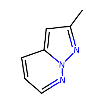 Cc1cc2cccnn2n1